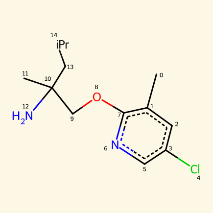 Cc1cc(Cl)cnc1OCC(C)(N)CC(C)C